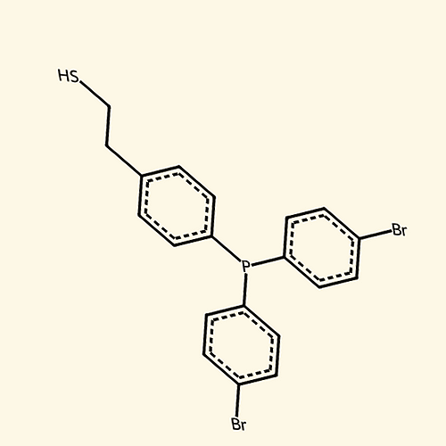 SCCc1ccc(P(c2ccc(Br)cc2)c2ccc(Br)cc2)cc1